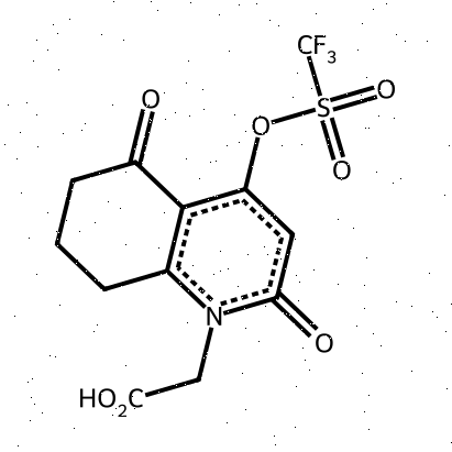 O=C(O)Cn1c2c(c(OS(=O)(=O)C(F)(F)F)cc1=O)C(=O)CCC2